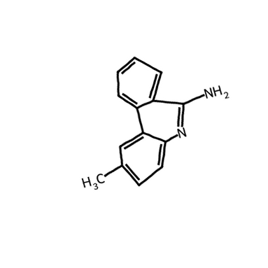 Cc1ccc2nc(N)c3ccccc3c2c1